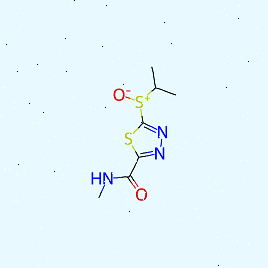 CNC(=O)c1nnc([S+]([O-])C(C)C)s1